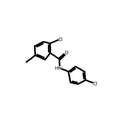 Cc1ccc(Cl)c(C(=O)Nc2ccc(Cl)cc2)c1